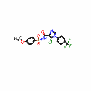 COc1ccc(S(=O)(=O)NC(=O)c2ncn(-c3ccc(C(F)(F)F)cc3)c2Cl)cc1